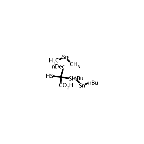 CCCCCCCCCCC(S)(S)C(=O)O.CCC[CH2][Sn][CH2]CCC.[CH3][Sn][CH3]